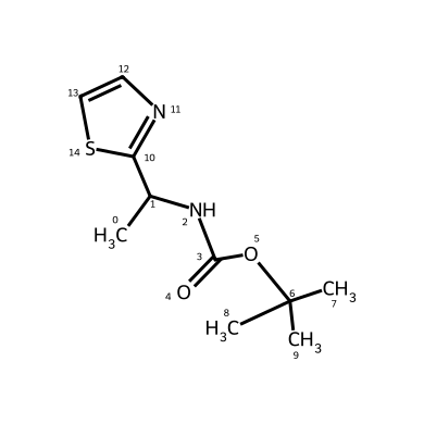 CC(NC(=O)OC(C)(C)C)c1nccs1